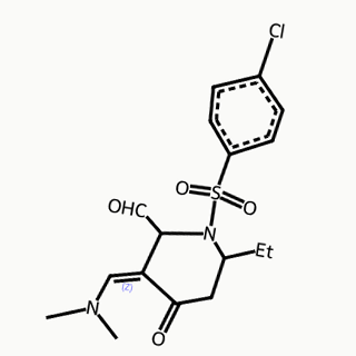 CCC1CC(=O)/C(=C\N(C)C)C(C=O)N1S(=O)(=O)c1ccc(Cl)cc1